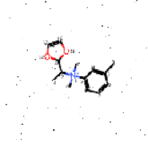 Cc1cccc([N+](C)(C)C(C)C2O[C]=CO2)c1